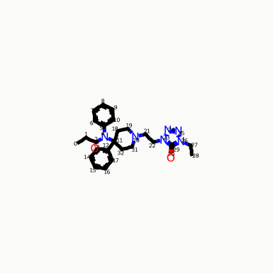 CCC(=O)N(c1ccccc1)C1(c2ccccc2)CCN(CCn2nnn(CC)c2=O)CC1